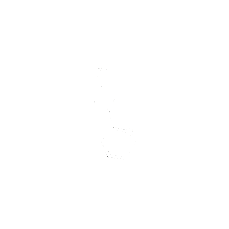 COC1CN(c2ccccn2)C1